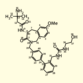 COc1ccc2c(c1)C[C@@H](NC(=O)CC(C)(C)N)C(=O)N(Cc1ccc(-c3ccccc3CNC(=O)NCCO)cc1)C2